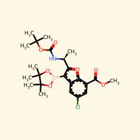 COC(=O)c1cc(Cl)cc2c(B3OC(C)(C)C(C)(C)O3)c([C@H](C)NC(=O)OC(C)(C)C)oc12